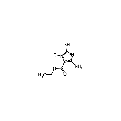 CCOC(=O)c1c(N)nc(S)n1C